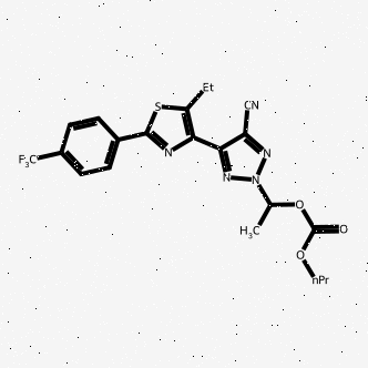 CCCOC(=O)OC(C)n1nc(C#N)c(-c2nc(-c3ccc(C(F)(F)F)cc3)sc2CC)n1